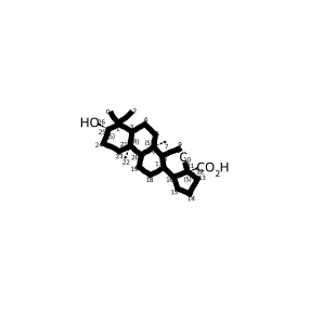 CC1(C)C2CC[C@@]3(C)C4CC[C@@]5(C(=O)O)CCCC5C4CCC3[C@@]2(C)CC[C@@H]1O